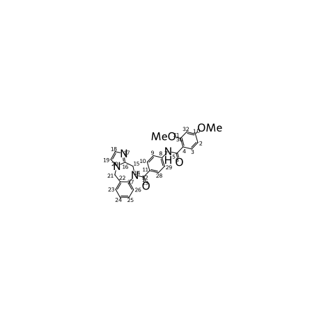 COc1ccc(C(=O)Nc2ccc(C(=O)N3Cc4nccn4Cc4ccccc43)cc2)c(OC)c1